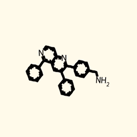 NCc1ccc(-c2nc3ccnc(-c4ccccc4)c3cc2-c2ccccc2)cc1